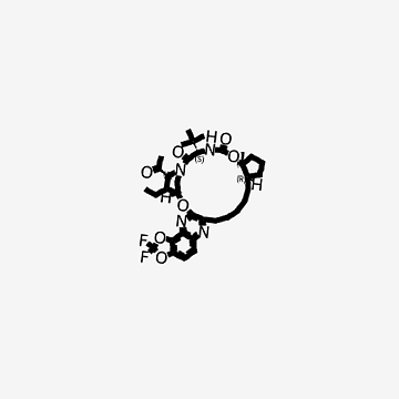 CCC1[C@@H]2CN(C(=O)[C@H](C(C)(C)C)NC(=O)O[C@]3(C)CCC[C@H]3CCCCCc3nc4ccc5c(c4nc3O2)OC(F)(F)O5)[C@@H]1C(C)=O